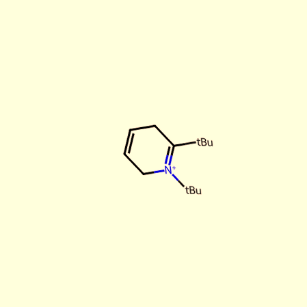 CC(C)(C)C1=[N+](C(C)(C)C)CC=CC1